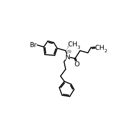 C=CCCC(=O)N(CCCc1ccccc1)[C@@H](C)c1ccc(Br)cc1